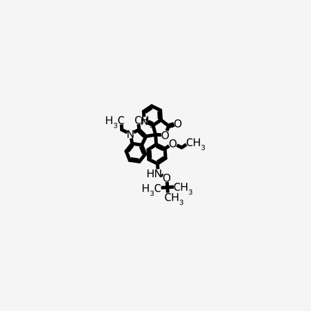 CCOc1cc(NOC(C)(C)C)ccc1C1(c2c(C)n(CC)c3ccccc23)OC(=O)c2cccnc21